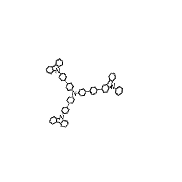 c1ccc(-n2c3ccccc3c3cc(-c4ccc(-c5ccc(N(c6ccc(-c7ccc(-n8c9ccccc9c9ccccc98)cc7)cc6)c6ccc(-c7ccc(-n8c9ccccc9c9ccccc98)cc7)cc6)cc5)cc4)ccc32)cc1